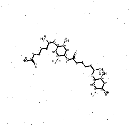 C[C@H](CCCCC(=O)O[C@@H]1C[C@@H](O)[C@H](O[C@H](C)CCCCC(=O)O)O[C@H]1C)O[C@@H]1O[C@@H](C)[C@H](O)C[C@H]1O